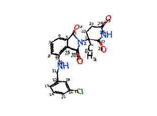 CC1(N2C(=O)c3cccc(NCc4cccc(Cl)c4)c3C2=O)CCC(=O)NC1=O